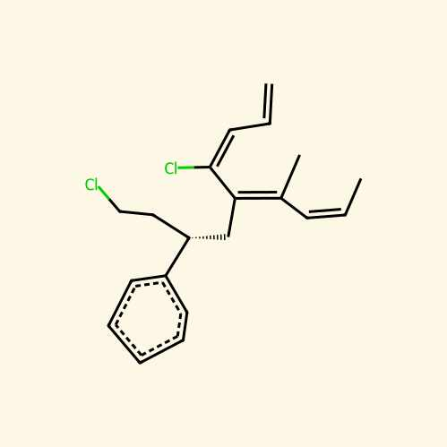 C=C\C=C(Cl)/C(C[C@@H](CCCl)c1ccccc1)=C(C)/C=C\C